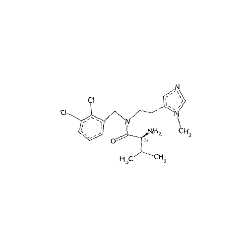 CC(C)[C@H](N)C(=O)N(CCc1cncn1C)Cc1cccc(Cl)c1Cl